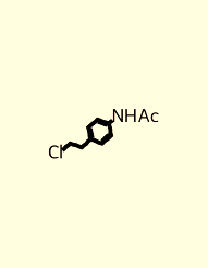 CC(=O)Nc1ccc(CCCl)cc1